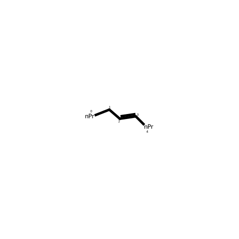 C[CH]CCC=CCCC